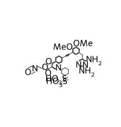 COc1cc(Cc2cnc(N)nc2N)cc(C#Cc2ccc3c(=O)c(C(=O)OCCN4CCOCC4)cn(C4CCCCC4)c3c2)c1OC.CS(=O)(=O)O.CS(=O)(=O)O